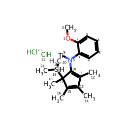 COc1ccccc1[N]([Ti])C1=C(C)C(C)=C(C)C1(C)[SiH](C)C.Cl.Cl